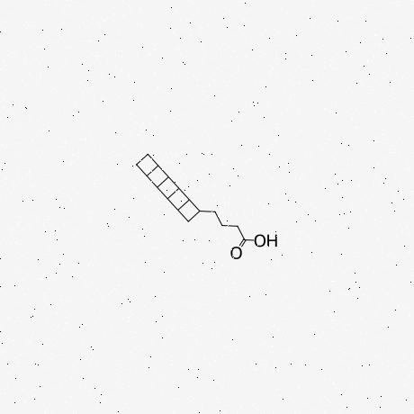 O=C(O)CCCC1CC2C1C1C3C4CCC4C3C21